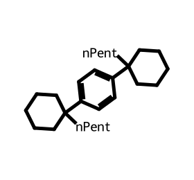 CCCCCC1(c2ccc(C3(CCCCC)CCCCC3)cc2)CCCCC1